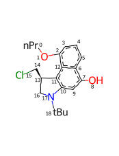 CCCOc1cccc2c(O)cc3c(c12)[C@H](CCl)CN3C(C)(C)C